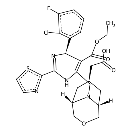 CCOC(=O)C1=C(CN2[C@@H]3COC[C@H]2C[C@H](CC(=O)O)C3)NC(c2nccs2)=N[C@H]1c1cccc(F)c1Cl